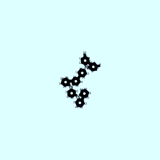 Cc1ccc2c(c1)c1cc(C)ccc1n2-c1ccc(-c2ccc3c(c2)c2ccccc2n3-c2cccc(-n3c4ccccc4c4ccccc43)c2)cc1